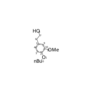 CCCCOc1ccc(CCO)cc1OC